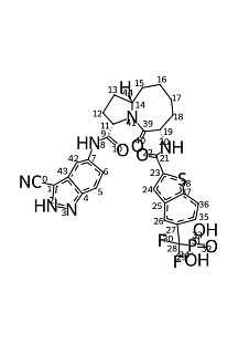 N#Cc1[nH]nc2ccc(NC(=O)[C@@H]3CC[C@@H]4CCCC[C@H](NC(=O)c5cc6cc(C(F)(F)P(=O)(O)O)ccc6s5)C(=O)N43)cc12